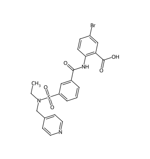 CCN(Cc1ccncc1)S(=O)(=O)c1cccc(C(=O)Nc2ccc(Br)cc2C(=O)O)c1